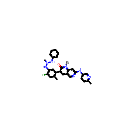 CCn1c(=O)c(-c2cc(NN(C)Nc3ccccc3)c(F)cc2C)cc2cnc(Nc3ccc(C)nc3)cc21